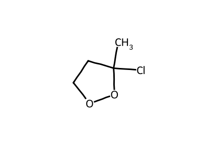 CC1(Cl)CCOO1